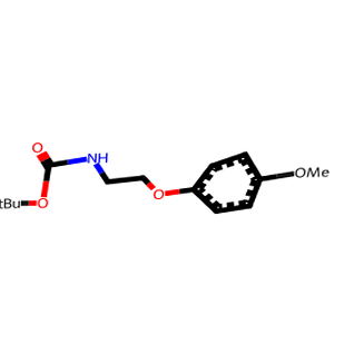 COc1ccc(OCCNC(=O)OC(C)(C)C)cc1